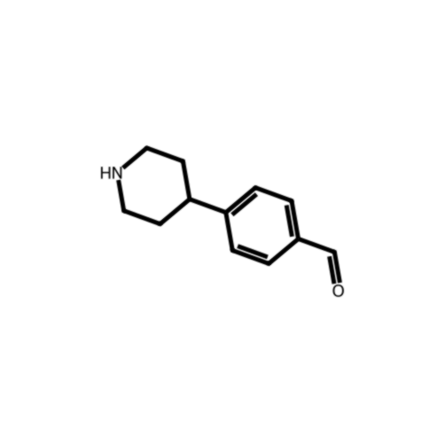 O=Cc1ccc(C2CCNCC2)cc1